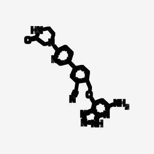 N#Cc1cc(-c2ccc(N3CCNC(=O)C3)nc2)ccc1COc1cc(N)nc2[nH]nnc12